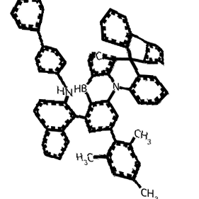 Cc1cc(C)c(-c2cc(-c3c(Nc4ccc(-c5ccccc5)cc4)ccc4ccccc34)c3c(c2)N2c4ccccc4C4(c5ccccc5-c5ccccc54)c4cccc(c42)B3)c(C)c1